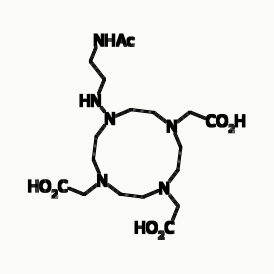 CC(=O)NCCNN1CCN(CC(=O)O)CCN(CC(=O)O)CCN(CC(=O)O)CC1